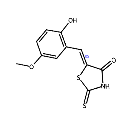 COc1ccc(O)c(/C=C2\SC(=S)NC2=O)c1